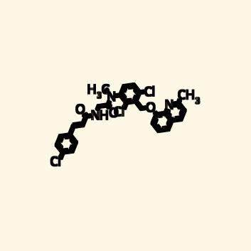 Cc1ccc2cccc(OCc3c(Cl)ccc(N(C)C(=O)CNC(=O)/C=C/c4ccc(Cl)cc4)c3Cl)c2n1